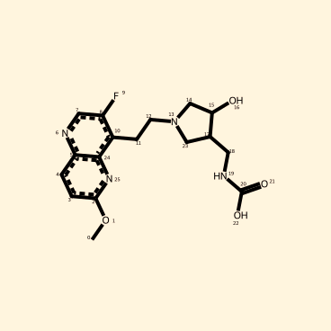 COc1ccc2ncc(F)c(CCN3CC(O)C(CNC(=O)O)C3)c2n1